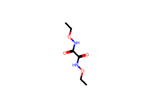 CCONC(=O)C(=O)NOCC